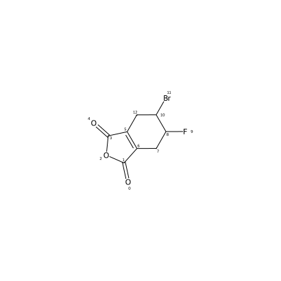 O=C1OC(=O)C2=C1CC(F)C(Br)C2